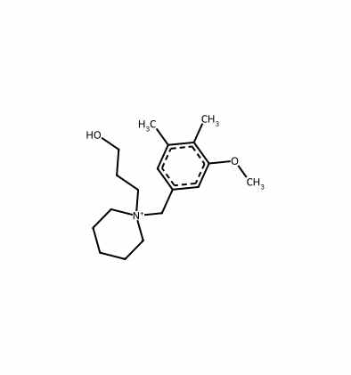 COc1cc(C[N+]2(CCCO)CCCCC2)cc(C)c1C